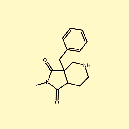 CN1C(=O)C2CCNCC2(Cc2ccccc2)C1=O